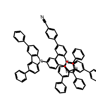 N#Cc1ccc(-c2ccc(-n3c4ccc(-c5ccccc5)cc4c4cc(-c5ccccc5)ccc43)c(-c3cc(-n4c5ccc(-c6ccccc6)cc5c5cc(-c6ccccc6)ccc54)ccc3-c3nc(-c4ccccc4)nc(-c4ccccc4)n3)c2)cc1